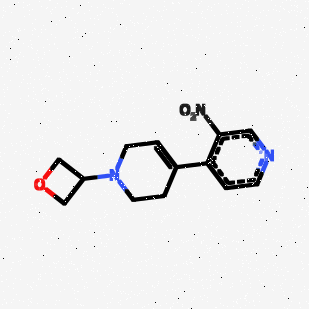 O=[N+]([O-])c1cnccc1C1=CCN(C2COC2)CC1